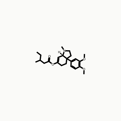 CCC(C)CC(=O)OC1=C[C@@H]2N(C)CCC2(c2ccc(OC)c(OC)c2)CC1